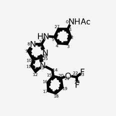 CC(=O)Nc1cccc(Nc2ncc3ccn(Cc4ccccc4OC(F)F)c3n2)c1